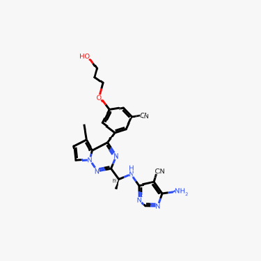 Cc1ccn2nc([C@H](C)Nc3ncnc(N)c3C#N)nc(-c3cc(C#N)cc(OCCCO)c3)c12